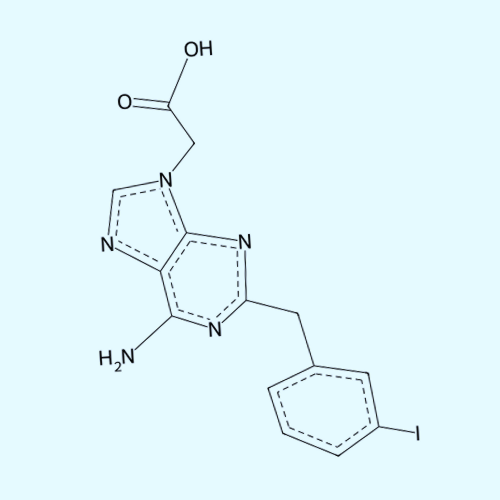 Nc1nc(Cc2cccc(I)c2)nc2c1ncn2CC(=O)O